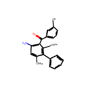 COc1cc(N)c(C(=O)c2cccc(C#N)c2)c(OC)c1-c1ccccc1